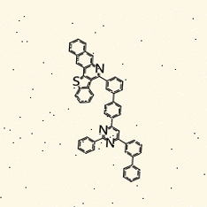 c1ccc(-c2cccc(-c3cc(-c4ccc(-c5cccc(-c6nc7cc8ccccc8cc7c7sc8ccccc8c67)c5)cc4)nc(-c4ccccc4)n3)c2)cc1